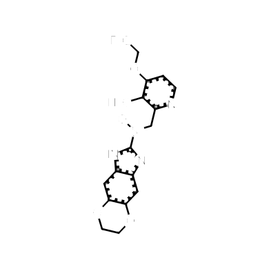 Cc1c(OCC(F)(F)F)ccnc1C[S+]([O-])c1nc2cc3c(cc2[nH]1)OCCO3